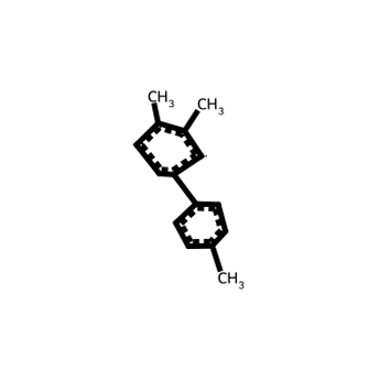 Cc1ccc(-c2[c]c(C)c(C)cc2)cc1